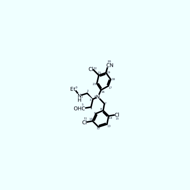 CCNC[C@H](CC=O)N(Cc1cc(Cl)ccc1Cl)c1ccc(C#N)c(Cl)c1